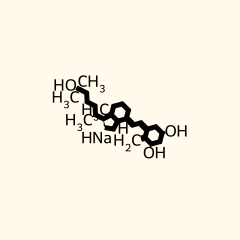 C=C1/C(=C\C=C2/CCC[C@]3(C)[C@@H]([C@H](C)CCCC(C)(C)O)CC[C@@H]23)C[C@@H](O)C[C@@H]1O.[NaH]